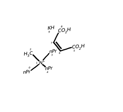 CCC[N+](C)(CCC)CCC.O=C(O)/C=C\C(=O)O.[KH]